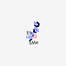 CCN(C(=O)NCCSC)c1cnn(-c2cccnc2)c1